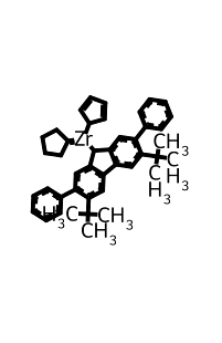 CC(C)(C)c1cc2c(cc1-c1ccccc1)[CH]([Zr](=[C]1CCCC1)[CH]1C=CC=C1)c1cc(-c3ccccc3)c(C(C)(C)C)cc1-2